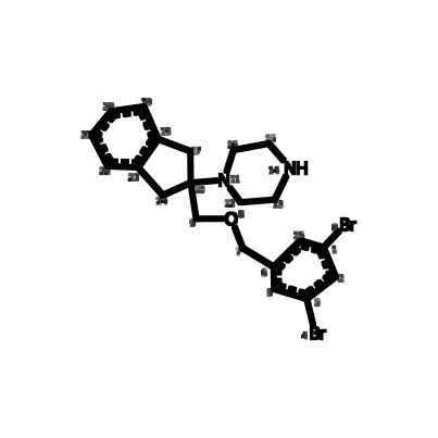 Brc1cc(Br)cc(COCC2(N3CCNCC3)Cc3ccccc3C2)c1